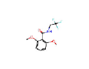 COc1cccc(OC)c1C(=O)NCC(F)(F)F